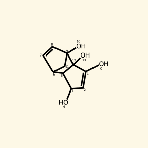 OC1=CC(O)C2C3C=CC(O)(C3)C12O